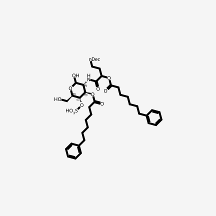 CCCCCCCCCCCCC(OC(=O)CCCCCCc1ccccc1)C(=O)N[C@H]1C(O)O[C@H](CO)[C@@H](OS(=O)(=O)O)[C@@H]1OC(=O)CCCCCCc1ccccc1